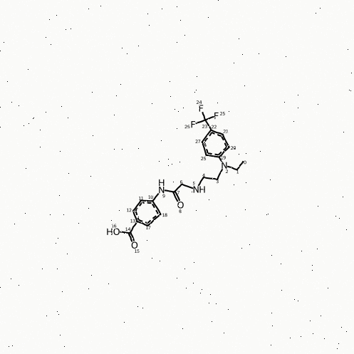 CCN(CCNCC(=O)Nc1ccc(C(=O)O)cc1)c1ccc(C(F)(F)F)cc1